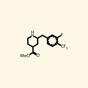 COC(=O)C1CCNC(Cc2ccc(C(F)(F)F)c(F)c2)C1